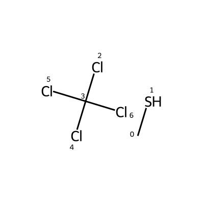 CS.ClC(Cl)(Cl)Cl